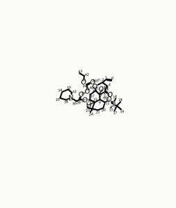 C=C[C@@]1(C)CC(=O)[C@]2(O)[C@@]3(C)[C@@H](O[Si](C)(C)C(C)(C)C)CCC(C)(C)[C@@H]3[C@H](OC(=O)CN3CCCCC3)[C@H](OC(=O)OCC)[C@@]2(C)O1